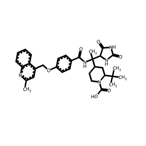 Cc1cc(COc2ccc(C(=O)NC(C)(C3CCN(C(=O)O)C(C(C)(C)C)C3)C3NC(=O)NC3=O)cc2)c2ccccc2n1